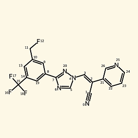 N#CC(=Cn1cnc(-c2cc(CF)cc(C(F)(F)F)c2)n1)c1cccnc1